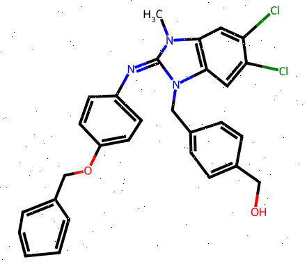 Cn1/c(=N/c2ccc(OCc3ccccc3)cc2)n(Cc2ccc(CO)cc2)c2cc(Cl)c(Cl)cc21